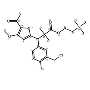 COc1cc(C(c2ccc(C)c(CCl)c2)C(C)(C)C(=O)OCC[Si](C)(C)C)sc1C(C)=O